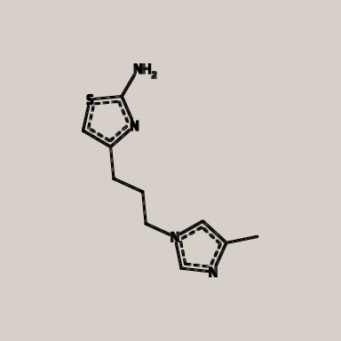 Cc1cn(CCCc2csc(N)n2)cn1